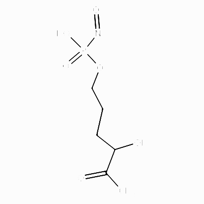 CC(=O)C(O)CCCOP(=O)(O)N=O